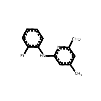 CCc1ccccc1Nc1cc(C)cc(C=O)n1